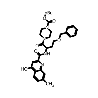 CCCCOC(=O)N1CCN(C(=O)C(CCOCc2ccccc2)NC(=O)c2cc(O)c3ccc(C)cc3n2)CC1